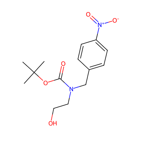 CC(C)(C)OC(=O)N(CCO)Cc1ccc([N+](=O)[O-])cc1